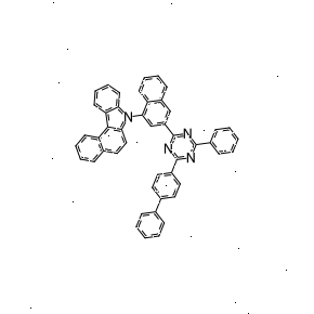 c1ccc(-c2ccc(-c3nc(-c4ccccc4)nc(-c4cc(-n5c6ccccc6c6c7ccccc7ccc65)c5ccccc5c4)n3)cc2)cc1